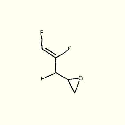 FC=C(F)C(F)C1CO1